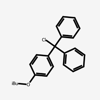 CCC(C)Oc1ccc(C(Cl)(c2ccccc2)c2ccccc2)cc1